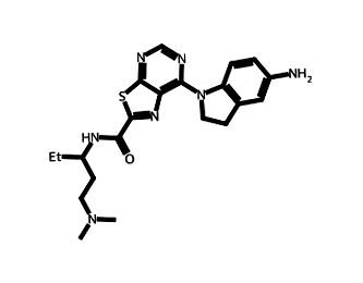 CCC(CCN(C)C)NC(=O)c1nc2c(N3CCc4cc(N)ccc43)ncnc2s1